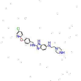 Clc1ccc(Oc2ccc(CNc3nc4ccc(NCCN5CCNCC5)cc4[nH]3)cc2)nc1